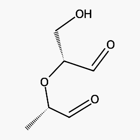 C[C@@H](C=O)O[C@@H](C=O)CO